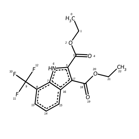 CCOC(=O)c1[nH]c2c(C(F)(F)F)cccc2c1C(=O)OCC